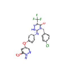 O=c1cc(Oc2ccc(/N=c3\[nH]nc(C(F)(F)F)c(=O)n3Cc3ccc(Cl)cc3)cc2)cn[nH]1